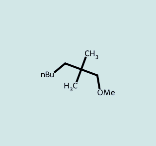 [CH2]CCCCC(C)(C)COC